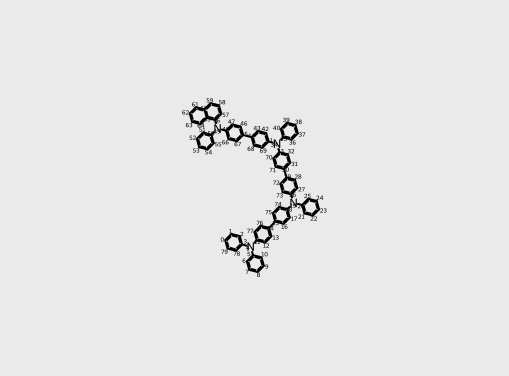 c1ccc(N(c2ccccc2)c2ccc(-c3ccc(N(c4ccccc4)c4ccc(-c5ccc(N(c6ccccc6)c6ccc(-c7ccc(N(c8ccccc8)c8cccc9ccccc89)cc7)cc6)cc5)cc4)cc3)cc2)cc1